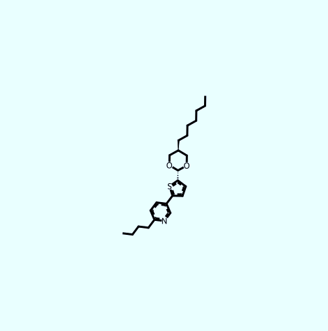 CCCCCCC[C@H]1CO[C@H](c2ccc(-c3ccc(CCCC)nc3)s2)OC1